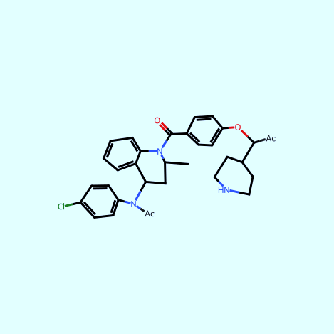 CC(=O)C(Oc1ccc(C(=O)N2c3ccccc3C(N(C(C)=O)c3ccc(Cl)cc3)CC2C)cc1)C1CCNCC1